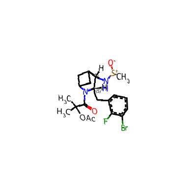 CC(=O)OC(C)(C)C(=O)N1C2CC(C2)[C@H](N[S+](C)[O-])[C@@H]1Cc1cccc(Br)c1F